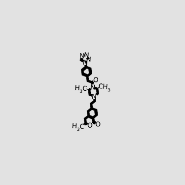 CC1CC2=C(C=CC(CCN3C[C@@H](C)N(C(=O)Cc4ccc(-n5cnnn5)cc4)[C@@H](C)C3)C2)C(=O)O1